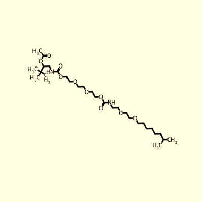 CC(=O)OC(CNC(=O)OCCOCCOCCOC(=O)NCCOCCOCCCCCCC(C)C)C(C)(C)C